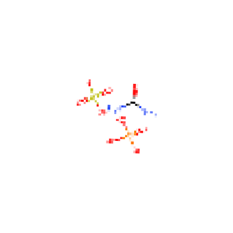 NC(N)=O.O=P(O)(O)O.O=S(=O)(O)O